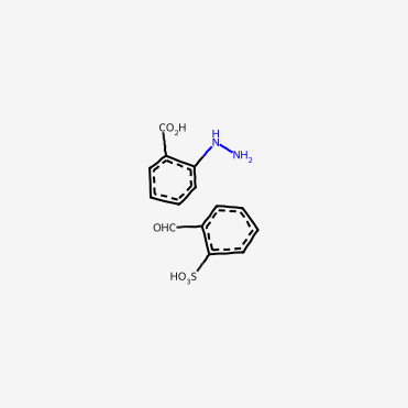 NNc1ccccc1C(=O)O.O=Cc1ccccc1S(=O)(=O)O